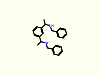 CC(NCc1ccccc1)c1cccc(C(C)NCc2ccccc2)c1